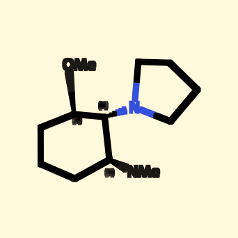 CN[C@H]1CCC[C@@H](OC)[C@@H]1N1CCCC1